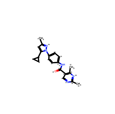 Cc1cc(C2CC2)n(-c2ccc(NC(=O)c3cnc(C)nc3C)cc2)n1